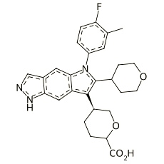 Cc1cc(-n2c(C3CCOCC3)c([C@@H]3CCC(C(=O)O)OC3)c3cc4[nH]ncc4cc32)ccc1F